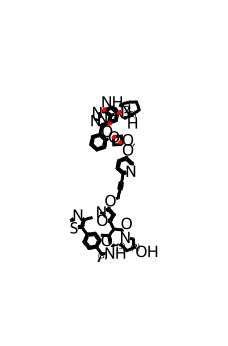 COCOc1ccccc1-c1cc(N2CC3CC[C@H](C2)N3c2ccnc(OC3CC(Oc4ccc(C#CCOc5cc(C(C(=O)N6C[C@H](O)C[C@H]6C(=O)N[C@@H](C)c6ccc(-c7scnc7C)cc6)C(C)C)on5)nc4)C3)c2)c(N)nn1